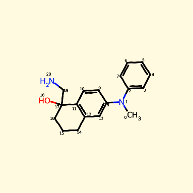 CN(c1ccccc1)c1ccc2c(c1)CCCC2(O)CN